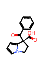 O=C(O)[C@@]1(C(=O)c2ccccc2)CCn2cccc21